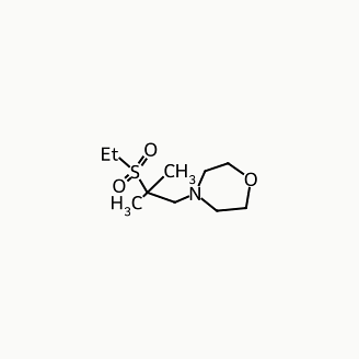 CCS(=O)(=O)C(C)(C)CN1CCOCC1